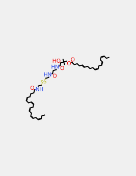 CC/C=C\C/C=C\C/C=C\C/C=C\C/C=C\CCCC(=O)NCCSSCCNC(=O)CCNC(=O)[C@H](O)C(C)(C)COC(=O)CCC/C=C/CCC/C=C\C/C=C\C/C=C\CC